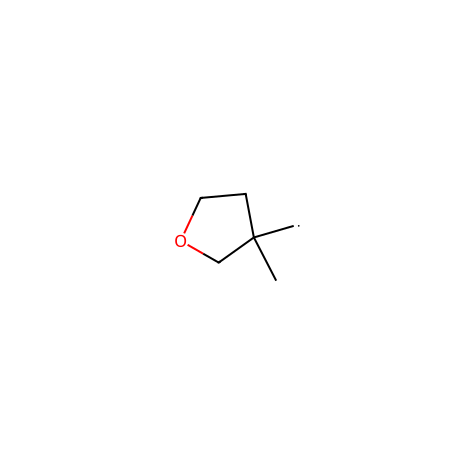 [CH2]C1(C)CCOC1